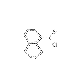 [S]C(Cl)c1cccc2ccccc12